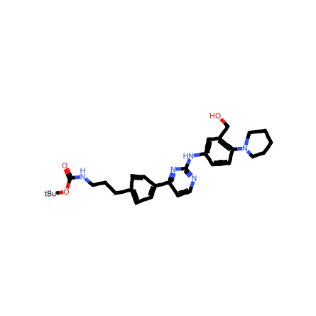 CC(C)(C)OC(=O)NCCCc1ccc(-c2ccnc(Nc3ccc(N4CCCCC4)c(CO)c3)n2)cc1